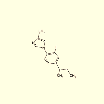 CCC(C)c1ccc(-n2cnc(C)c2)c(F)c1